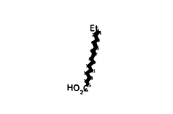 CC/C=C/C/C=C/C=C/CCCCCCCCC(=O)O